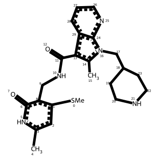 CSc1cc(C)[nH]c(=O)c1CNC(=O)c1c(C)n(CC2CCNCC2)c2ncccc12